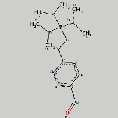 CC(C)[Si](CCc1ccc(C=O)cc1)(C(C)C)C(C)C